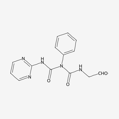 O=[C]CNC(=O)N(C(=O)Nc1ncccn1)c1ccccc1